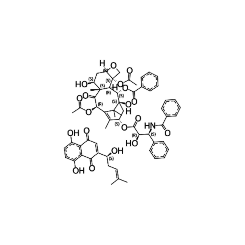 CC(=O)O[C@H]1C(=O)[C@@]2(C)[C@H]([C@H](OC(=O)c3ccccc3)[C@]3(O)C[C@H](OC(=O)[C@H](O)[C@@H](NC(=O)c4ccccc4)c4ccccc4)C(C)=C1C3(C)C)[C@]1(OC(C)=O)CO[C@@H]1C[C@@H]2O.CC(C)=CC[C@H](O)C1=CC(=O)c2c(O)ccc(O)c2C1=O